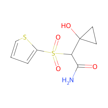 NC(=O)C(C1(O)CC1)S(=O)(=O)c1cccs1